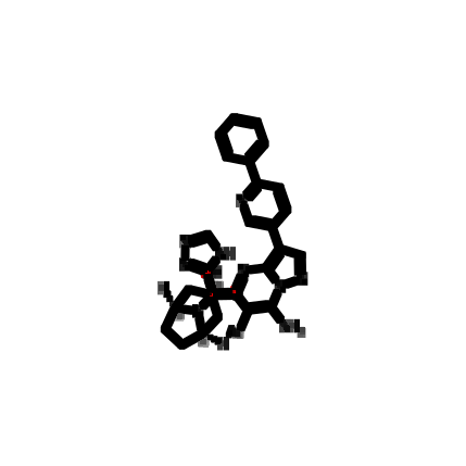 CC(=O)c1c([C@]2(O)C[C@H]3CC[C@@H](C2)N3C(=O)c2nnc[nH]2)nc2c(-c3ccc(-c4ccccc4)nc3)cnn2c1N